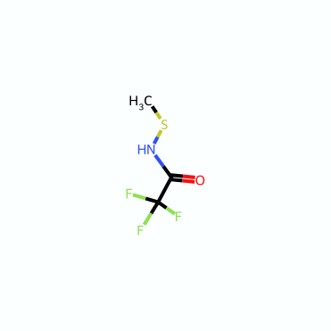 CSNC(=O)C(F)(F)F